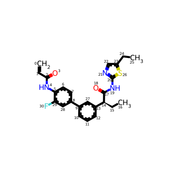 C=CC(=O)Nc1ccc(-c2cccc([C@H](CC)C(=O)Nc3ncc(CC)s3)c2)cc1F